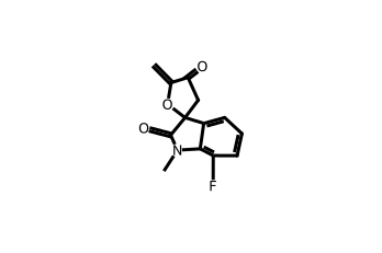 C=C1OC2(CC1=O)C(=O)N(C)c1c(F)cccc12